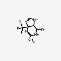 NC1=NC2(C(F)(F)F)N=CNC2C(=O)N1